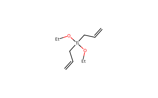 C=C[CH2][Ti]([CH2]C=C)([O]CC)[O]CC